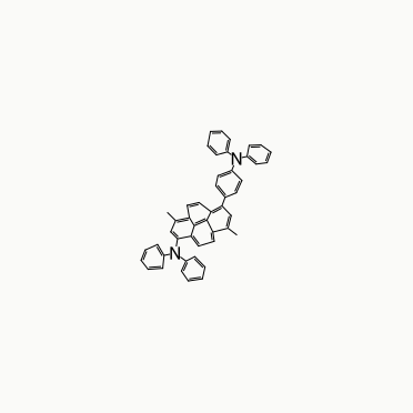 Cc1cc(-c2ccc(N(c3ccccc3)c3ccccc3)cc2)c2ccc3c(C)cc(N(c4ccccc4)c4ccccc4)c4ccc1c2c34